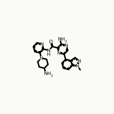 Cn1ncc2c(-c3cnc(N)c(C(=O)Nc4ncccc4N4CCC(N)CC4)n3)cccc21